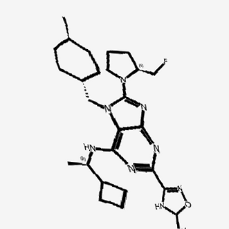 C[C@@H](Nc1nc(C2=NOC(O)N2)nc2nc(N3CCC[C@H]3CF)n(C[C@H]3CC[C@H](C)CC3)c12)C1CCC1